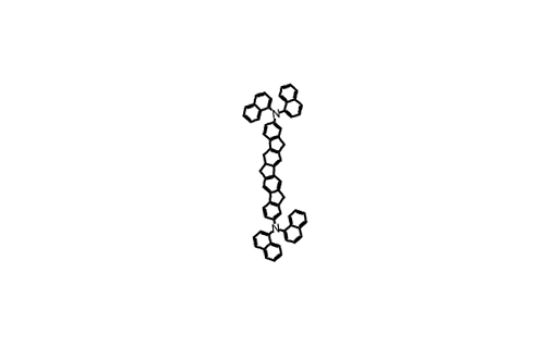 C1=C2c3cc4c(cc3CC2CC2=C1Cc1cc(N(c3cccc5ccccc35)c3cccc5ccccc35)ccc12)-c1ccc(N(c2cccc3ccccc23)c2cccc3ccccc23)cc1C4